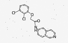 O=C(COc1cccc(Cl)c1Cl)Nc1ccc2cnccc2c1